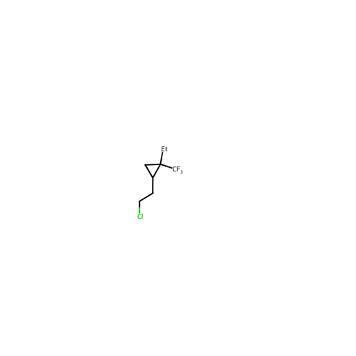 CCC1(C(F)(F)F)CC1CCCl